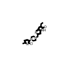 CCc1cc2cnc(CN3CCN(c4ccc(C)nc4Cl)CC3)cc2[nH]c1=O